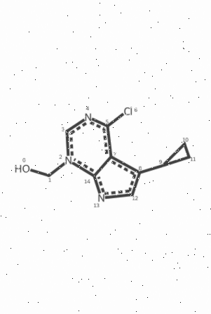 OCn1cnc(Cl)c2c(C3CC3)cnc1-2